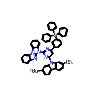 CC(C)(C)c1ccc2c3ccc(C(C)(C)C)cc3n(-c3cc(-c4cccc([Si](c5ccccc5)(c5ccccc5)c5ccccc5)c4)nc(-n4c5ccccc5n5c6ccccc6nc45)n3)c2c1